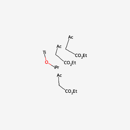 CC(C)[O][Ti].CCOC(=O)CC(C)=O.CCOC(=O)CC(C)=O.CCOC(=O)CC(C)=O